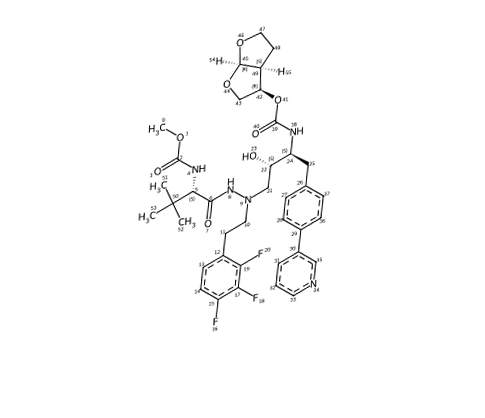 COC(=O)N[C@H](C(=O)NN(CCc1ccc(F)c(F)c1F)C[C@H](O)[C@H](Cc1ccc(-c2cccnc2)cc1)NC(=O)O[C@H]1CO[C@H]2OCC[C@H]21)C(C)(C)C